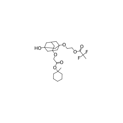 CC1(OC(=O)COC23CC4CC(O)(CC(OCCOC(=O)C(C)(F)F)(C4)C2)C3)CCCCC1